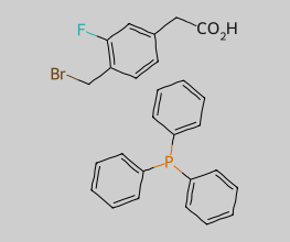 O=C(O)Cc1ccc(CBr)c(F)c1.c1ccc(P(c2ccccc2)c2ccccc2)cc1